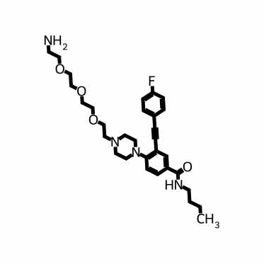 CCCCNC(=O)c1ccc(N2CCN(CCOCCOCCOCCN)CC2)c(C#Cc2ccc(F)cc2)c1